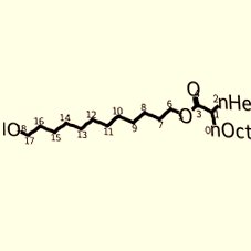 CCCCCCCCC(CCCCCC)C(=O)OCCCCCCCCCCCCO